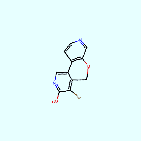 Oc1ncc2c(c1Br)COc1cnccc1-2